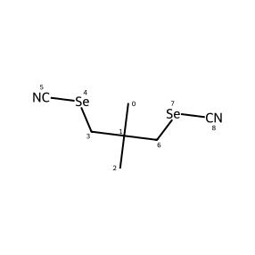 CC(C)(C[Se]C#N)C[Se]C#N